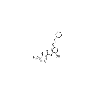 C[C@H](N)C(=O)NC(=O)Oc1nc(OCCC2CCCCC2)ccc1O